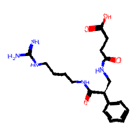 N=C(N)NCCCCNC(=O)[C@@H](CNC(=O)CCC(=O)O)c1ccccc1